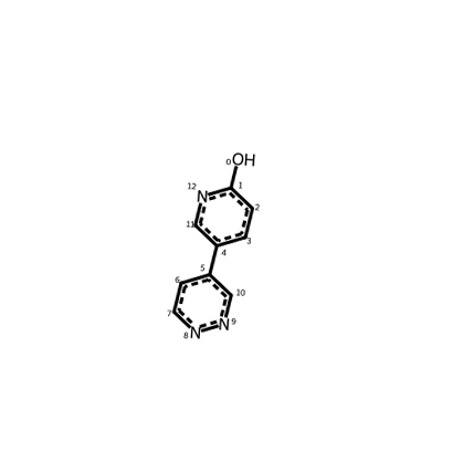 Oc1ccc(-c2ccnnc2)cn1